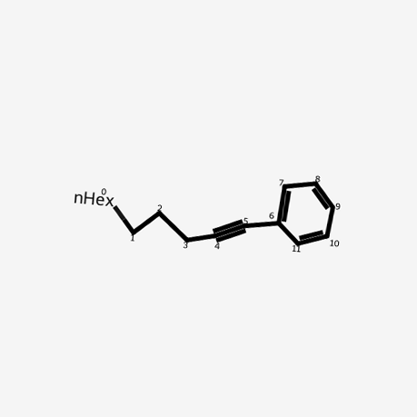 [CH2]CCCCCCCCC#Cc1ccccc1